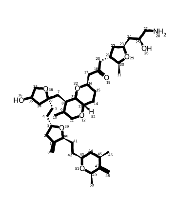 C=C1C[C@H](CC[C@]2(C[C@@H]3C(C)CO[C@H]4CC[C@H](CC(=O)C[C@@H]5C[C@@H](C[C@H](O)CN)O[C@H]5C)OC34)CC(O)CO2)O[C@H]1CC[C@H]1C[C@@H](C)C(=C)[C@@H](C)O1